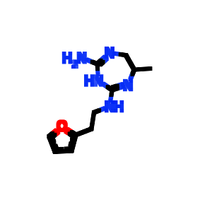 CC1CN=C(N)NC(NCCc2ccco2)=N1